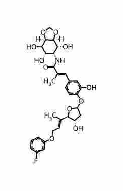 CC(=Cc1ccc(O[C@H]2C[C@H](O)[C@@H](C(C)=CCOc3cccc(F)c3)O2)c(O)c1)C(=O)N[C@@H]1[C@H](O)[C@@H](O)[C@H]2OCO[C@H]2[C@@H]1O